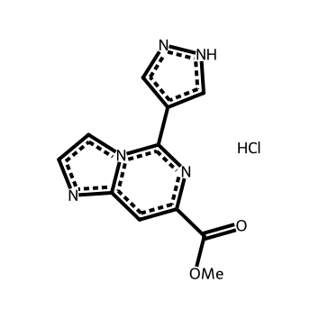 COC(=O)c1cc2nccn2c(-c2cn[nH]c2)n1.Cl